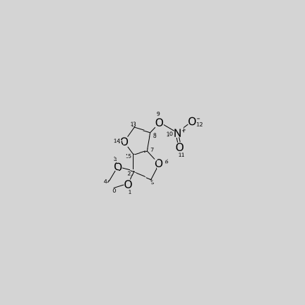 COC1(OC)COC2C(O[N+](=O)[O-])COC21